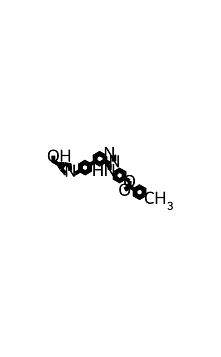 Cc1ccc(C(=O)Oc2ccc(Nc3ncnc4ccc(-c5ccc(CN6CC7C(CO)C7C6)cc5)cc34)cc2)cc1